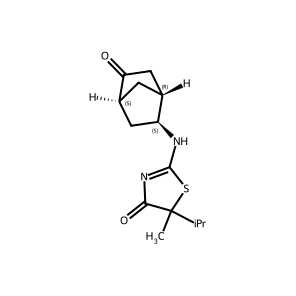 CC(C)C1(C)SC(N[C@H]2C[C@@H]3C[C@@H]2CC3=O)=NC1=O